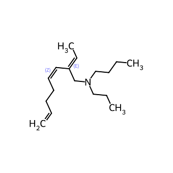 C=CCC/C=C\C(=C/C)CN(CCC)CCCC